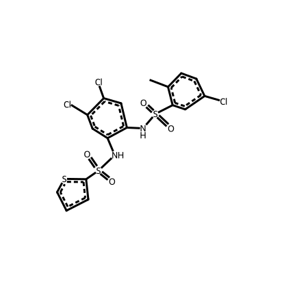 Cc1ccc(Cl)cc1S(=O)(=O)Nc1cc(Cl)c(Cl)cc1NS(=O)(=O)c1cccs1